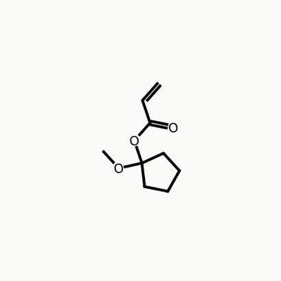 C=CC(=O)OC1(OC)CCCC1